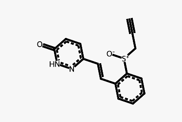 C#CC[S+]([O-])c1ccccc1C=Cc1ccc(=O)[nH]n1